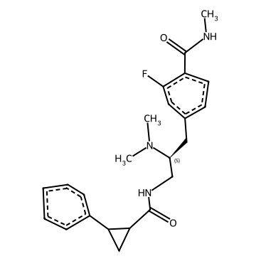 CNC(=O)c1ccc(C[C@@H](CNC(=O)C2CC2c2ccccc2)N(C)C)cc1F